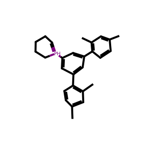 Cc1ccc(-c2cc(-c3ccc(C)cc3C)cc([PH]3=CCCCC3)c2)c(C)c1